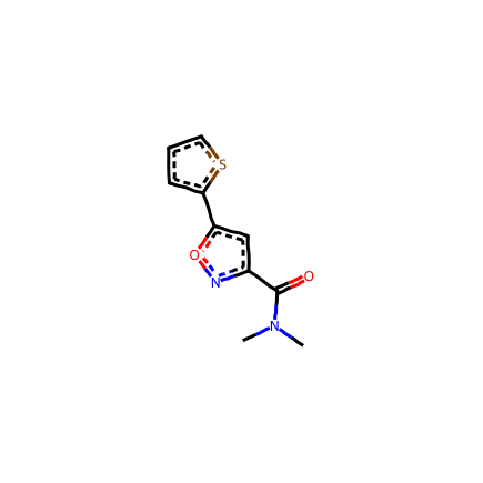 CN(C)C(=O)c1cc(-c2cccs2)on1